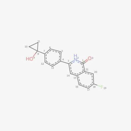 O=c1[nH]c(-c2ccc(C3(O)CC3)cc2)cc2ccc(F)cc12